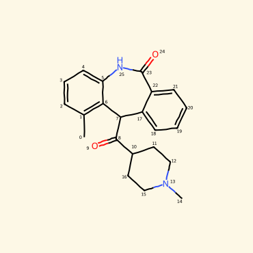 Cc1cccc2c1C(C(=O)C1CCN(C)CC1)c1ccccc1C(=O)N2